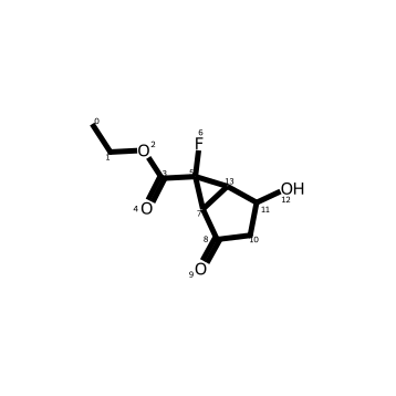 CCOC(=O)C1(F)C2C(=O)CC(O)C21